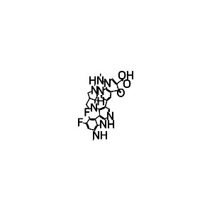 CNc1cc(F)c(F)c2c1[nH]c1ncc(-c3cnc4c(c3)c(=O)c(C(=O)O)cn4NC)c(N3CCC4CN(C)C[C@H]43)c12